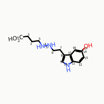 O=C(O)CCCNNCCc1c[nH]c2ccc(O)cc12